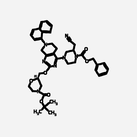 CC(C)(C)OC(=O)N1CCO[C@@H](COc2nc3c(c(N4CCN(C(=O)OCc5ccccc5)C(CC#N)C4)n2)CCN(c2cccc4ccccc24)C3)C1